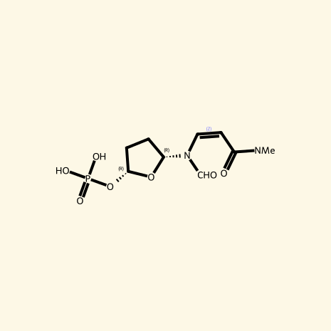 CNC(=O)/C=C\N(C=O)[C@H]1CC[C@@H](OP(=O)(O)O)O1